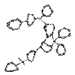 CC(C)(c1ccccc1)c1ccc(-c2ccc3c(c2)-c2cc(N(c4ccccc4)c4ccc(-c5ccccc5)cc4)ccc2C3(c2ccccc2)c2ccccc2)cc1